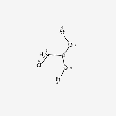 CCOC(OCC)[SiH2]Cl